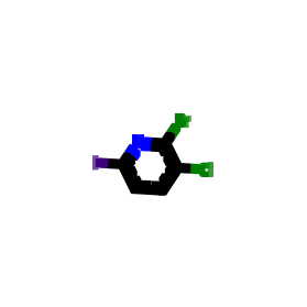 Clc1ccc(I)nc1Br